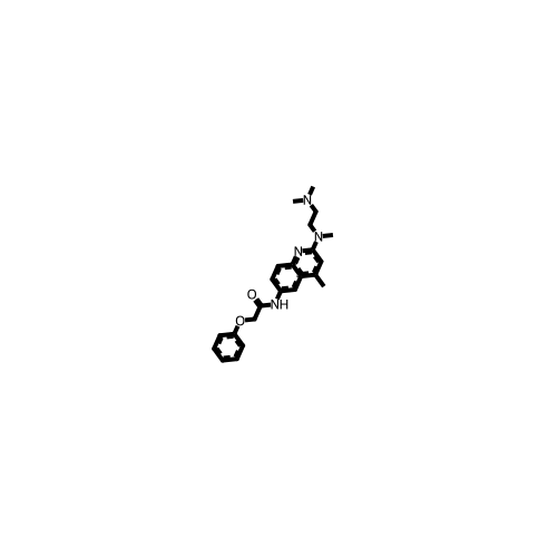 Cc1cc(N(C)CCN(C)C)nc2ccc(NC(=O)COc3ccccc3)cc12